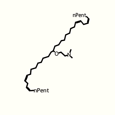 CCCCC/C=C\C/C=C\CCCCCCCCC(CCCCCCCC/C=C\C/C=C\CCCCC)OCCN(C)C